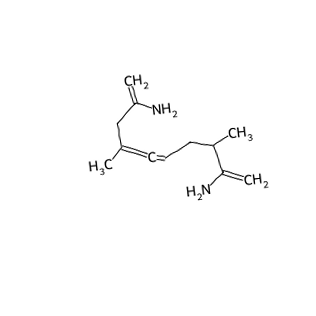 C=C(N)CC(C)=C=CCC(C)C(=C)N